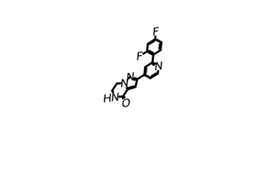 O=C1NCCn2nc(-c3ccnc(-c4ccc(F)cc4F)c3)cc21